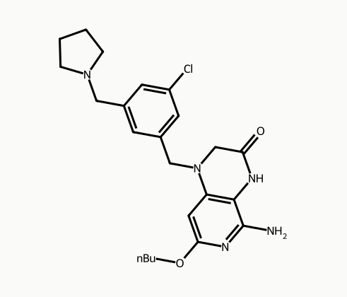 CCCCOc1cc2c(c(N)n1)NC(=O)CN2Cc1cc(Cl)cc(CN2CCCC2)c1